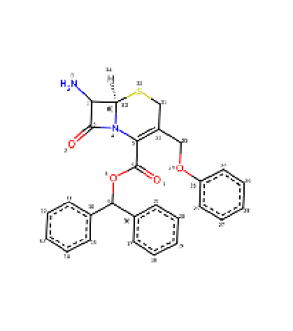 NC1C(=O)N2C(C(=O)OC(c3ccccc3)c3ccccc3)=C(COc3ccccc3)CS[C@H]12